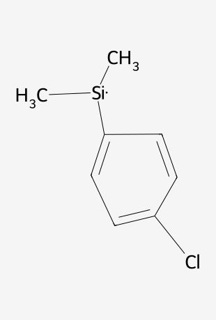 C[Si](C)c1ccc(Cl)cc1